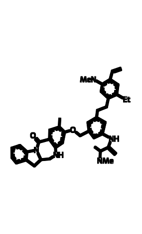 C=Cc1cc(CC)c(CCc2cc(COc3cc4c(cc3C)C(=O)N3c5ccccc5CC3CN4)cc(NC(=C)C(C)NC)c2)cc1NC